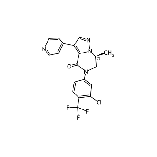 C[C@H]1CN(c2ccc(C(F)(F)F)c(Cl)c2)C(=O)c2c(-c3ccncc3)cnn21